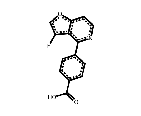 O=C(O)c1ccc(-c2nccc3occ(F)c23)cc1